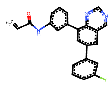 C=CC(=O)Nc1cccc(-c2cc(-c3cccc(F)c3)cc3cncnc23)c1